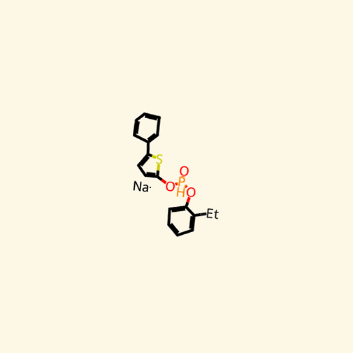 CCc1ccccc1O[PH](=O)Oc1ccc(-c2ccccc2)s1.[Na]